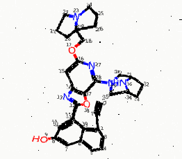 C#Cc1cccc2cc(O)cc(-c3nc4cc(OCC56CCCN5CCC6)nc(N5CC6CCC(C5)N6)c4o3)c12